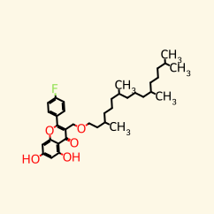 CC(C)CCCC(C)CCCC(C)CCCC(C)CCOCc1c(-c2ccc(F)cc2)oc2cc(O)cc(O)c2c1=O